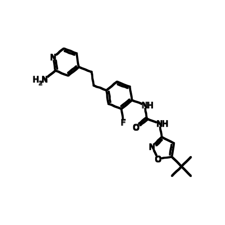 CC(C)(C)c1cc(NC(=O)Nc2ccc(CCc3ccnc(N)c3)cc2F)no1